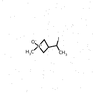 CC(I)C1C[N+](C)([O-])C1